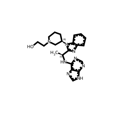 C[C@H](Nc1ncnc2[nH]cnc12)c1nc2ccccc2n1[C@@H]1CCCN(CCO)C1